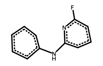 Fc1cccc(Nc2ccccc2)n1